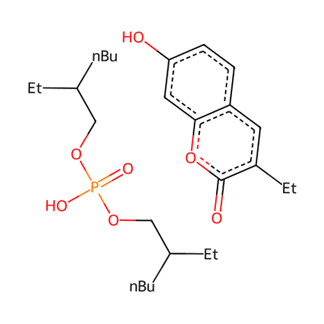 CCCCC(CC)COP(=O)(O)OCC(CC)CCCC.CCc1cc2ccc(O)cc2oc1=O